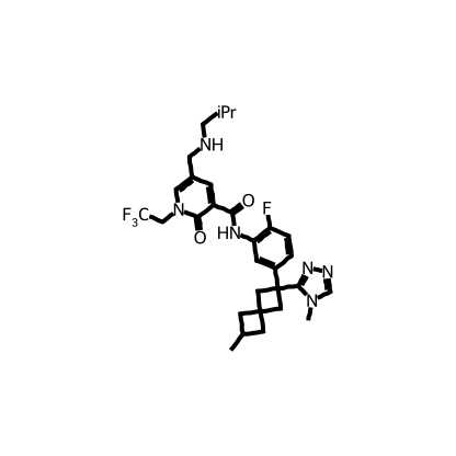 CC(C)CNCc1cc(C(=O)Nc2cc(C3(c4nncn4C)CC4(CC(C)C4)C3)ccc2F)c(=O)n(CC(F)(F)F)c1